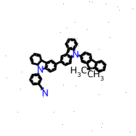 CC1(C)c2ccccc2-c2ccc(-n3c4ccccc4c4cc(-c5ccc6c(c5)C5C=CC=CC5N6c5cccc(C#N)c5)ccc43)cc21